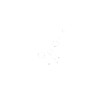 CCC(C#N)NC(=O)[C@@H]1CCCC[C@H]1c1nc(-c2ccc(F)cn2)sc1-c1ccc(N2CCS(=O)(=O)CC2)cc1